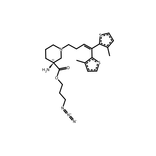 Cc1ccsc1C(=CCCN1CCC[C@@](N)(C(=O)OCCCN=[N+]=[N-])C1)c1sccc1C